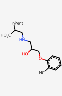 CCCCCC(CNCC(O)COc1ccccc1C#N)C(=O)O